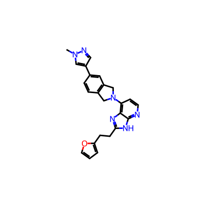 Cn1cc(-c2ccc3c(c2)CN(c2ccnc4[nH]c(CCc5ccco5)nc24)C3)cn1